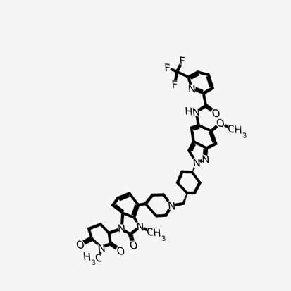 COc1cc2nn([C@H]3CC[C@H](CN4CCC(c5cccc6c5n(C)c(=O)n6C5CCC(=O)N(C)C5=O)CC4)CC3)cc2cc1NC(=O)c1cccc(C(F)(F)F)n1